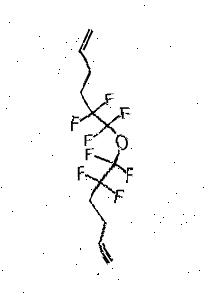 C=CCCC(F)(F)C(F)(F)OC(F)(F)C(F)(F)CCC=C